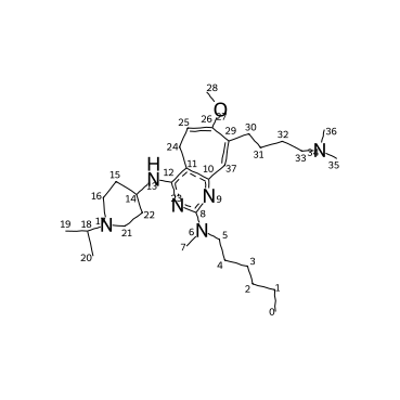 CCCCCCN(C)c1nc2c(c(NC3CCN(C(C)C)CC3)n1)CC=C(OC)C(CCCCN(C)C)=C2